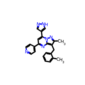 Cc1ccccc1Cc1c(C)nn2c(-c3cn[nH]c3)cc(-c3ccncc3)nc12